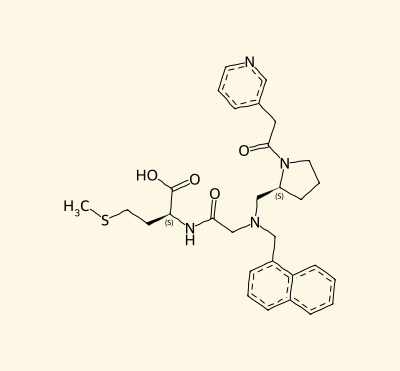 CSCC[C@H](NC(=O)CN(Cc1cccc2ccccc12)C[C@@H]1CCCN1C(=O)Cc1cccnc1)C(=O)O